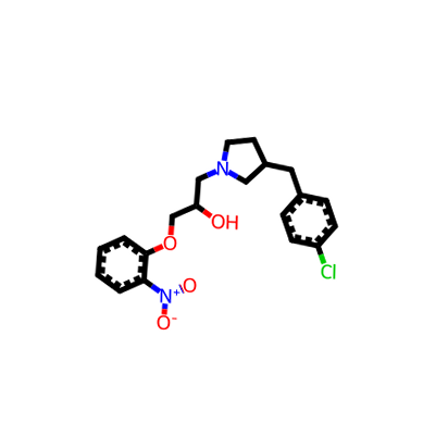 O=[N+]([O-])c1ccccc1OCC(O)CN1CCC(Cc2ccc(Cl)cc2)C1